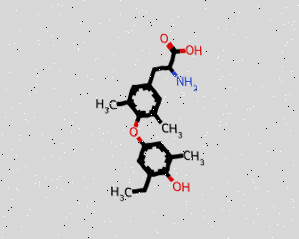 CCc1cc(Oc2c(C)cc(CC(N)C(=O)O)cc2C)cc(C)c1O